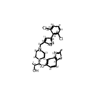 Cc1nc2cc(OC([C@H](C)O)N3CCN(Cc4cc(-c5c(Cl)cccc5Cl)no4)CC3)ccc2s1